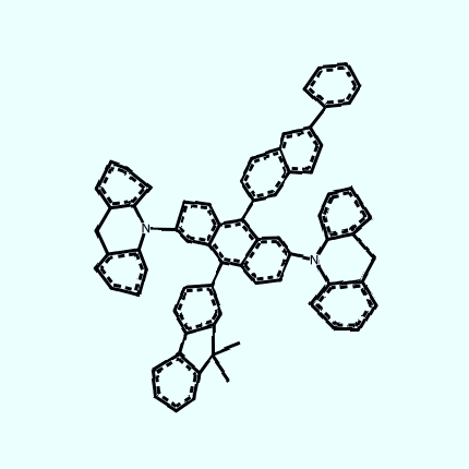 CC1(C)c2ccccc2-c2ccc(-c3c4ccc(N5c6ccccc6Cc6ccccc65)cc4c(-c4ccc5cc(-c6ccccc6)ccc5c4)c4ccc(N5c6ccccc6Cc6ccccc65)cc34)cc21